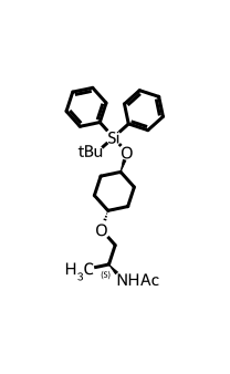 CC(=O)N[C@@H](C)CO[C@H]1CC[C@H](O[Si](c2ccccc2)(c2ccccc2)C(C)(C)C)CC1